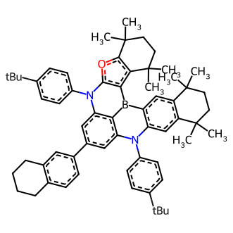 CC(C)(C)c1ccc(N2c3cc4c(cc3B3c5c2cc(-c2ccc6c(c2)CCCC6)cc5N(c2ccc(C(C)(C)C)cc2)c2oc5c(c23)C(C)(C)CCC5(C)C)C(C)(C)CCC4(C)C)cc1